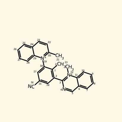 Cc1c(-c2ncc3ccccc3[n+]2C)cc(C#N)cc1-[n+]1c(C)ccc2ccccc21